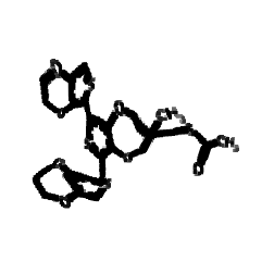 CC(=O)SCC1(C)COc2c(-c3scc4c3OCCO4)sc(-c3scc4c3OCCO4)c2OC1